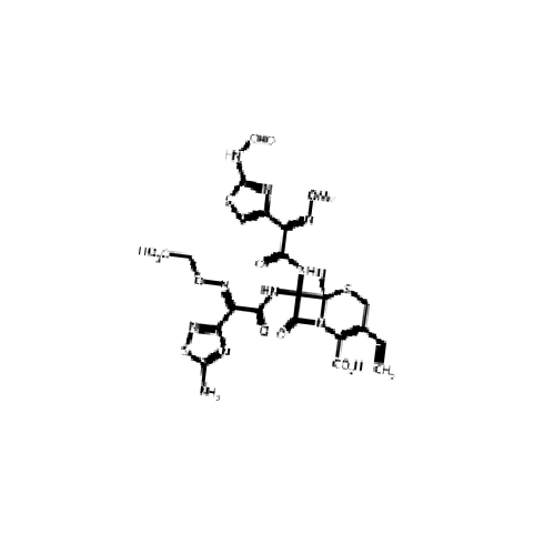 C=CC1=C(C(=O)O)N2C(=O)C(NC(=O)C(=NOC)c3csc(NC=O)n3)(NC(=O)C(=NOCC(=O)O)c3nsc(N)n3)[C@@H]2SC1